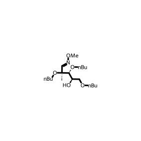 CCCCOC[C@@H](O)[C@@H](OCCCC)[C@](C)(/C=N/OC)OCCCC